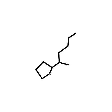 [CH2]C(CCCC)C1CCCS1